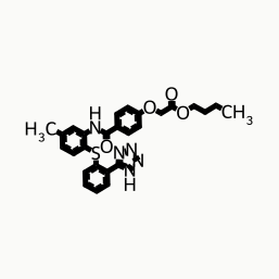 CCCCOC(=O)COc1ccc(C(=O)Nc2cc(C)ccc2Sc2ccccc2-c2nnn[nH]2)cc1